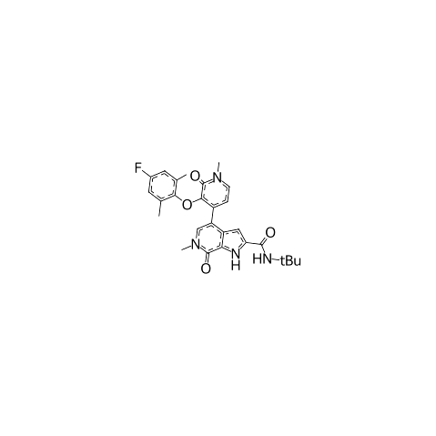 Cc1cc(F)cc(C)c1Oc1c(-c2cn(C)c(=O)c3[nH]c(C(=O)NC(C)(C)C)cc23)ccn(C)c1=O